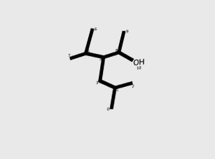 CC(C)CC(C(C)C)C(C)O